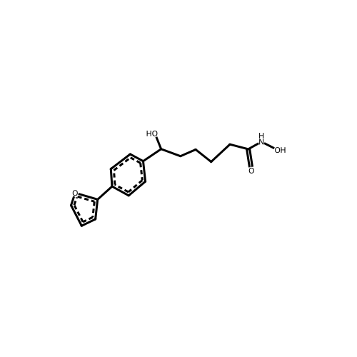 O=C(CCCCC(O)c1ccc(-c2ccco2)cc1)NO